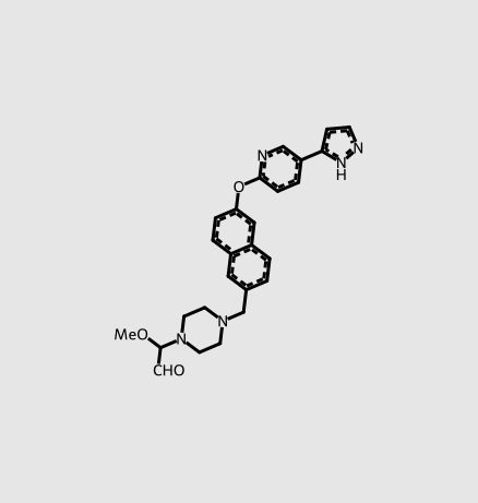 COC(C=O)N1CCN(Cc2ccc3cc(Oc4ccc(-c5ccn[nH]5)cn4)ccc3c2)CC1